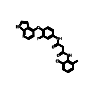 Cc1cccc(Cl)c1NC(=O)CC(=O)Nc1ccc(Oc2ccnc3[nH]ccc23)c(F)c1